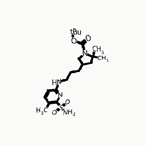 Cc1ccc(NCCCC2CN(C(=O)OC(C)(C)C)C(C)(C)C2)nc1S(N)(=O)=O